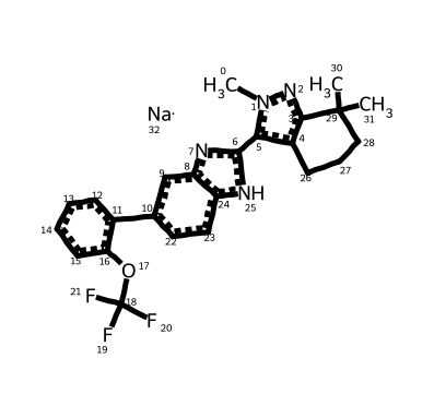 Cn1nc2c(c1-c1nc3cc(-c4ccccc4OC(F)(F)F)ccc3[nH]1)CCCC2(C)C.[Na]